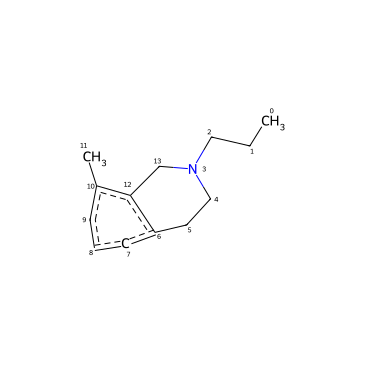 CCCN1CCc2cccc(C)c2C1